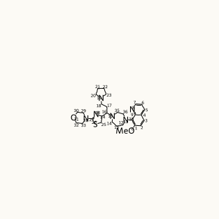 COc1ccc2cccnc2c1N1CCCN(C(CCN2CCCC2)C2CSC(N3CCOCC3)=N2)CC1